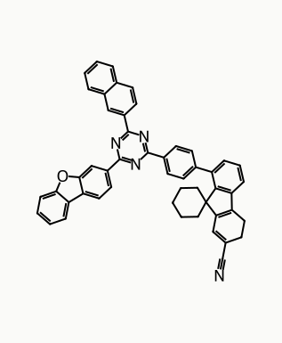 N#CC1=CC2=C(CC1)c1cccc(-c3ccc(-c4nc(-c5ccc6ccccc6c5)nc(-c5ccc6c(c5)oc5ccccc56)n4)cc3)c1C21CCCCC1